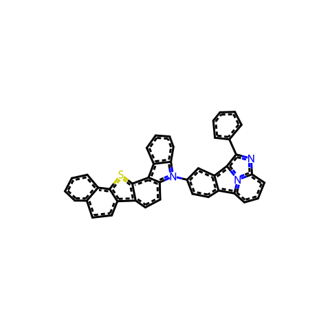 c1ccc(-c2nc3cccc4c5ccc(-n6c7ccccc7c7c8sc9c%10ccccc%10ccc9c8ccc76)cc5c2n34)cc1